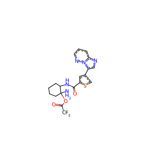 NC1(OC(=O)C(F)(F)F)CCCCC1NC(=O)c1cc(-c2cnc3cccnn23)cs1